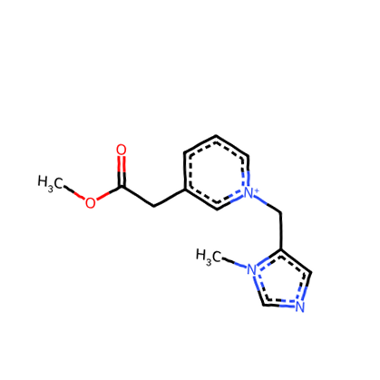 COC(=O)Cc1ccc[n+](Cc2cncn2C)c1